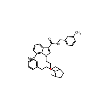 COc1cccc2c(C(=O)NCc3cccc(C)c3)cn(CCCN3C4CCC3CC(CCc3ccccc3)C4)c12